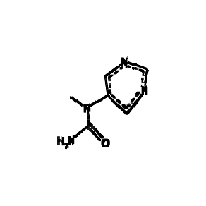 CN(C(N)=O)c1cncnc1